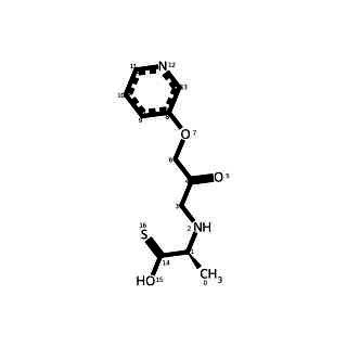 C[C@H](NCC(=O)COc1cccnc1)C(O)=S